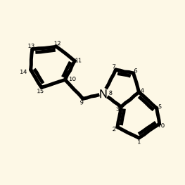 [c]1ccc2c(c1)ccn2Cc1ccccc1